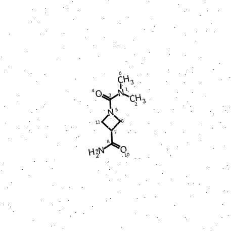 CN(C)C(=O)N1CC(C(N)=O)C1